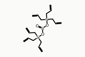 C=CC[Si](CC=C)(CC=C)O[Si](=O)O[Si](CC=C)(CC=C)CC=C